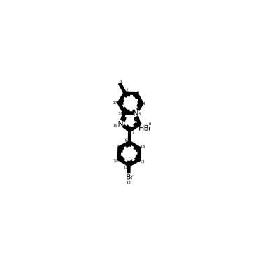 Br.Cc1ccn2cc(-c3ccc(Br)cc3)nc2c1